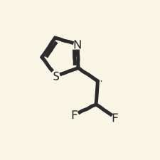 FC(F)[CH]c1nccs1